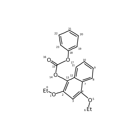 CCOc1cc(OCC)c2ccccc2c1OC(=O)Oc1ccccc1